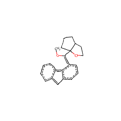 COC(=c1cccc2c1=c1ccccc1=C2)C12CCCC1CCO2